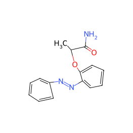 CC(Oc1ccccc1N=Nc1ccccc1)C(N)=O